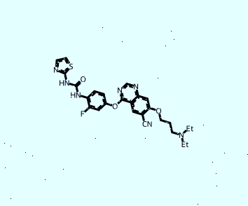 CCN(CC)CCCOc1cc2ncnc(Oc3ccc(NC(=O)Nc4nccs4)c(F)c3)c2cc1C#N